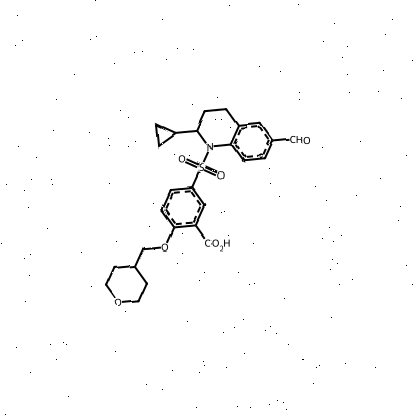 O=Cc1ccc2c(c1)CCC(C1CC1)N2S(=O)(=O)c1ccc(OCC2CCOCC2)c(C(=O)O)c1